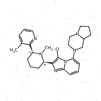 Cc1cccnc1[C@@H]1CCC[C@H](c2nc3cccc(N4CCN5CCCC5C4)n3c2Cl)N1C